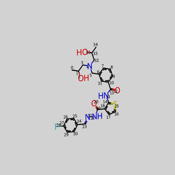 CC(O)CN(Cc1cccc(C(=O)Nc2sccc2C(=O)NN=Cc2ccc(F)cc2)c1)CC(C)O